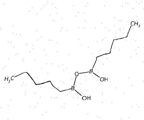 CCCCCB(O)OB(O)CCCCC